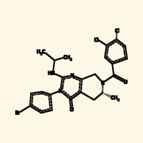 CC(C)Nc1nc2c(c(=O)n1-c1ccc(Br)cc1)C[C@@H](C)N(C(=O)c1ccc(Cl)c(Cl)c1)C2